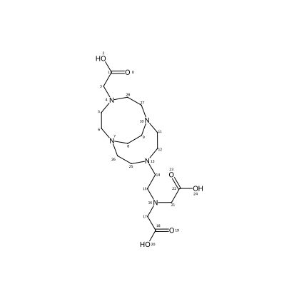 O=C(O)CN1CCN2CCN(CCN(CCN(CC(=O)O)CC(=O)O)CC2)CC1